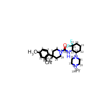 Cc1ccc(C2(C)CCN(C(=O)N[C@@H]3[C@@H](N4CCN(C(C)C)CC4)CCCC3(F)F)CC2)c(C#N)c1